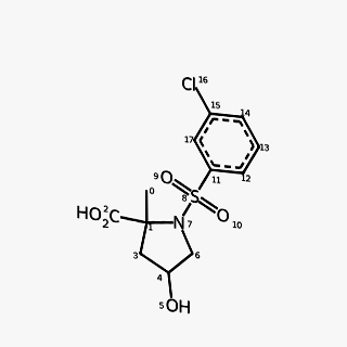 CC1(C(=O)O)CC(O)CN1S(=O)(=O)c1cccc(Cl)c1